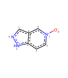 [O-][n+]1ccc2[nH]ncc2c1